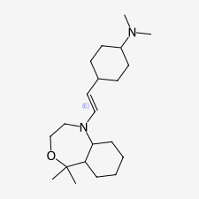 CN(C)C1CCC(/C=C/N2CCOC(C)(C)C3CCCCC32)CC1